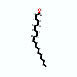 CCCCCCCCC\C=C/C=C\C=C/C=C\C=C/[C]=O